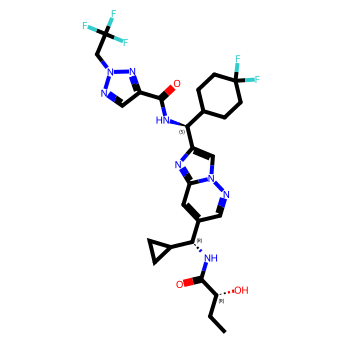 CC[C@@H](O)C(=O)N[C@@H](c1cnn2cc([C@@H](NC(=O)c3cnn(CC(F)(F)F)n3)C3CCC(F)(F)CC3)nc2c1)C1CC1